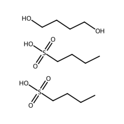 CCCCS(=O)(=O)O.CCCCS(=O)(=O)O.OCCCCO